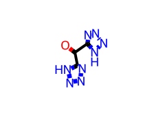 O=C(c1nnn[nH]1)c1nnn[nH]1